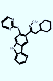 CC(=O)ON=C(CC1CCCCC1)c1cc2c(cc1Oc1ncccn1)[nH]c1ccccc12